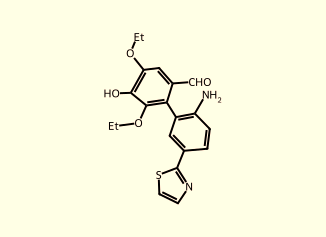 CCOc1cc(C=O)c(-c2cc(-c3nccs3)ccc2N)c(OCC)c1O